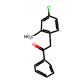 O=C(Cc1ccc(Cl)cc1C(=O)O)c1ccccc1